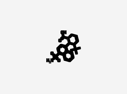 CC(C)(C)C1C=CCN(C(=O)O)C1c1ccc(S(N)(=O)=O)c2ccccc12